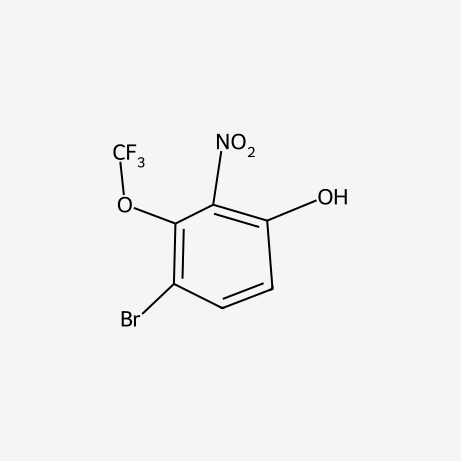 O=[N+]([O-])c1c(O)ccc(Br)c1OC(F)(F)F